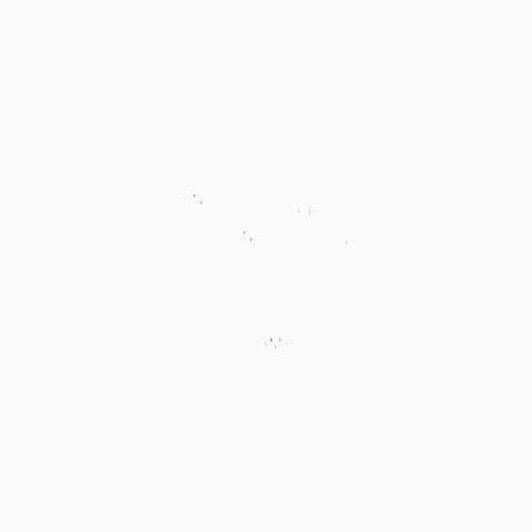 COc1ccccc1C1c2ccccc2C(=O)C(C)C1N1CCNCC1